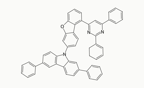 C1=CCCC(c2nc(-c3ccccc3)cc(-c3cccc4oc5cc(-n6c7ccc(-c8ccccc8)cc7c7ccc(-c8ccccc8)cc76)ccc5c34)n2)=C1